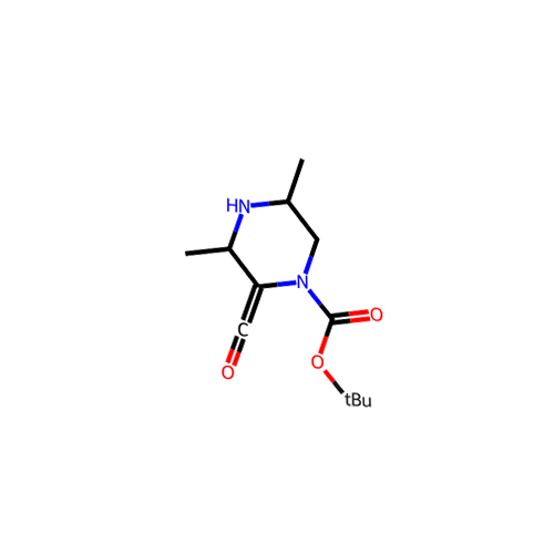 CC1CN(C(=O)OC(C)(C)C)C(=C=O)C(C)N1